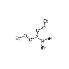 CCOOP(OOCC)N(C(C)C)C(C)C